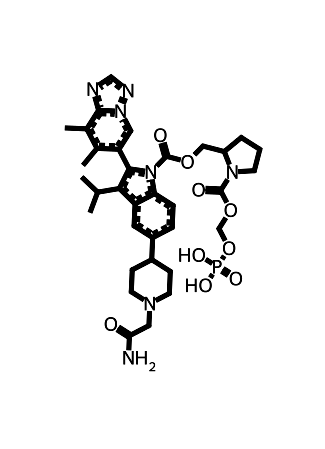 Cc1c(-c2c(C(C)C)c3cc(C4CCN(CC(N)=O)CC4)ccc3n2C(=O)OCC2CCCN2C(=O)OCOP(=O)(O)O)cn2ncnc2c1C